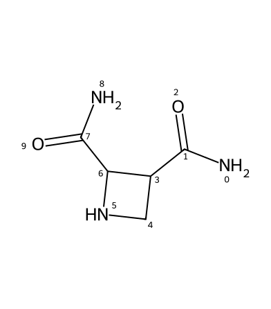 NC(=O)C1CNC1C(N)=O